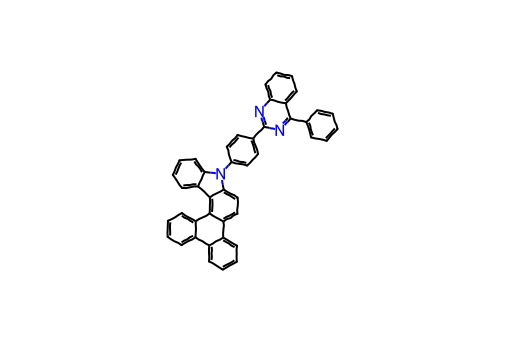 c1ccc(-c2nc(-c3ccc(-n4c5ccccc5c5c6c7ccccc7c7ccccc7c6ccc54)cc3)nc3ccccc23)cc1